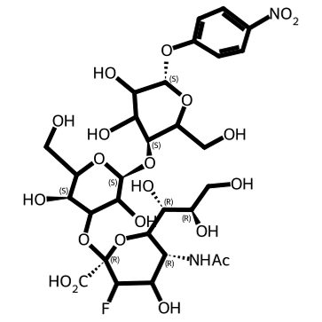 CC(=O)N[C@@H]1C(O)C(F)[C@](OC2C(O)[C@H](O[C@@H]3C(CO)O[C@@H](Oc4ccc([N+](=O)[O-])cc4)C(O)C3O)OC(CO)[C@@H]2O)(C(=O)O)OC1[C@H](O)[C@H](O)CO